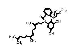 COC(=O)CN1c2c(O)cccc2C(=O)N(CC=C(C)CCC=C(C)CCC=C(C)C)c2cc(O)cc(O)c21